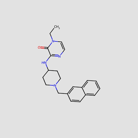 CCn1ccnc(NC2CCN(Cc3ccc4ccccc4c3)CC2)c1=O